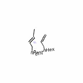 C/C=C/CCCCC.C=CCCCCCC